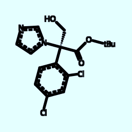 CC(C)(C)OC(=O)[C@@](CO)(c1ccc(Cl)cc1Cl)n1ccnc1